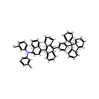 Cc1cccc(N(c2cccc(C)c2)c2ccc(-c3c4ccccc4c(-c4ccc(C5(c6ccccc6)c6ccccc6-c6ccccc65)cc4)c4ccccc34)c3ccccc23)c1